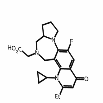 CCc1cc(=O)c2cc(F)c3c(c2n1C1CC1)CN(CC(=O)O)CC1CCCN31